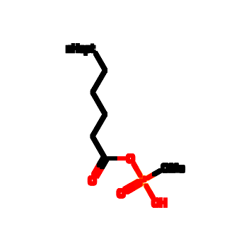 CCCCCCCCCCCC(=O)OP(=O)(O)OC